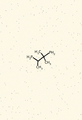 CC(P)C(C)(C)P